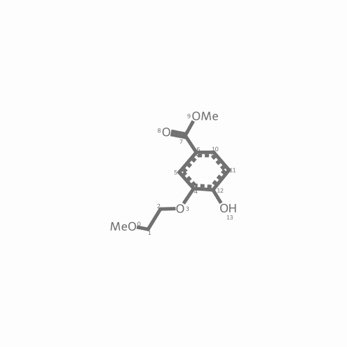 COCCOc1cc(C(=O)OC)ccc1O